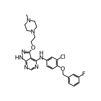 CN1CCN(CCOc2n[nH]c3ncnc(Nc4ccc(OCc5cccc(F)c5)c(Cl)c4)c23)CC1